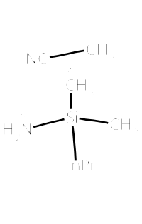 CC#N.CCC[Si](C)(C)N